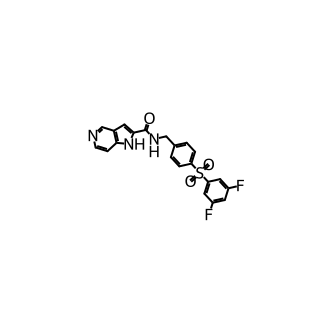 O=C(NCc1ccc(S(=O)(=O)c2cc(F)cc(F)c2)cc1)c1cc2cnccc2[nH]1